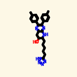 Cc1ccc(-c2nc3c(nc2-c2ccc(C)cc2)NC(CCCCCc2nnn[nH]2)C(O)C3)cc1